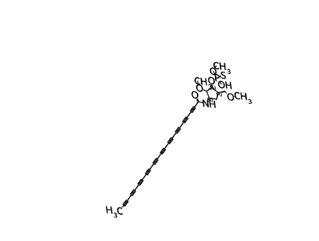 CC#CC#CC#CC#CC#CC#CC#CC#CC#CC#CC(=O)N[C@@H]1C[C@H](COC)[C@H](OP(O)(=S)OC)C1OC